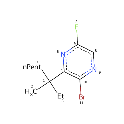 CCCCCC(C)(CC)c1nc(F)cnc1Br